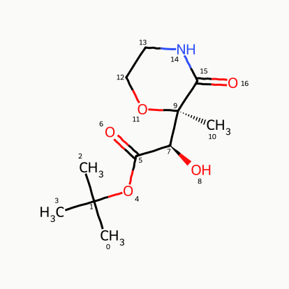 CC(C)(C)OC(=O)[C@H](O)[C@@]1(C)OCCNC1=O